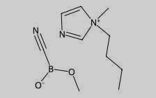 CCCC[N+]1(C)C=CN=C1.COB([O-])C#N